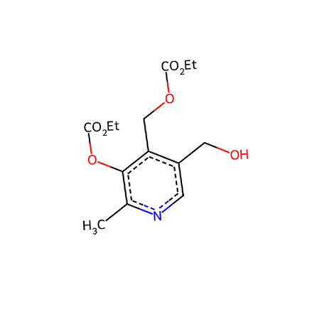 CCOC(=O)OCc1c(CO)cnc(C)c1OC(=O)OCC